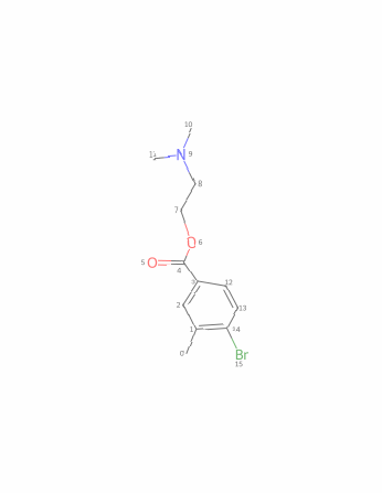 Cc1cc(C(=O)OCCN(C)C)ccc1Br